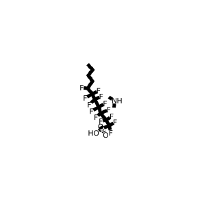 CCCCC(F)C(F)(F)C(F)(F)C(F)(F)C(F)(F)C(F)(F)C(F)(F)S(=O)(=O)O.CNC